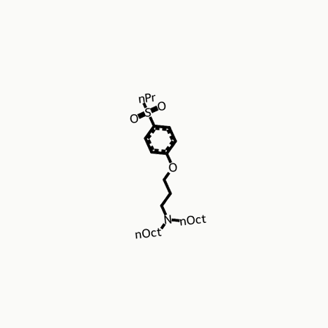 CCCCCCCCN(CCCCCCCC)CCCOc1ccc(S(=O)(=O)CCC)cc1